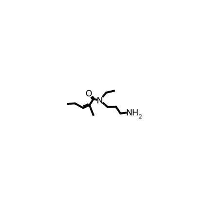 CCC=C(C)C(=O)N(CC)CCCN